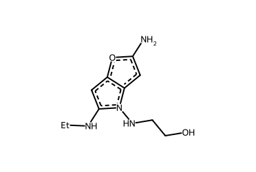 CCNc1cc2oc(N)cc2n1NCCO